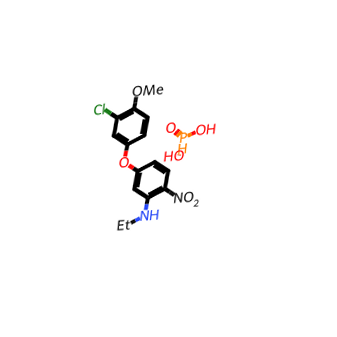 CCNc1cc(Oc2ccc(OC)c(Cl)c2)ccc1[N+](=O)[O-].O=[PH](O)O